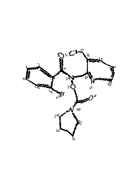 O=C(ON(C(=O)c1ccccc1Br)c1ncccc1Cl)N1CCCC1